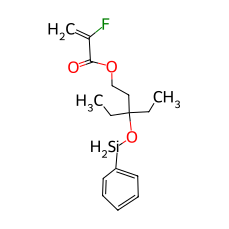 C=C(F)C(=O)OCCC(CC)(CC)O[SiH2]c1ccccc1